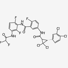 O=C(Nc1c(F)ccc(NC(=O)C(F)F)c1F)c1cc(NC(=O)C2[C@H](c3ccc(Cl)c(Cl)c3)C2(Cl)Cl)ccc1F